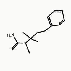 C=C(N)C(C)C(C)(C)CCc1ccccc1